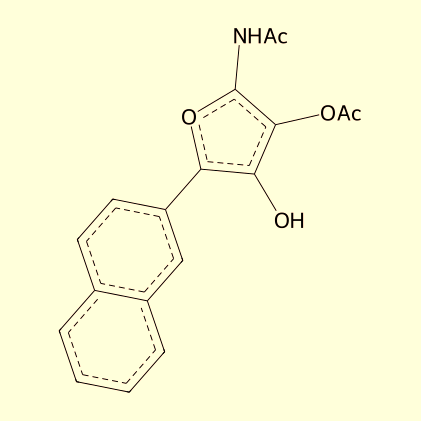 CC(=O)Nc1oc(-c2ccc3ccccc3c2)c(O)c1OC(C)=O